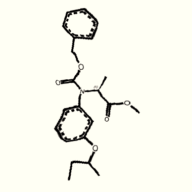 CCC(C)Oc1cccc(N(C(=O)OCc2ccccc2)[C@@H](C)C(=O)OC)c1